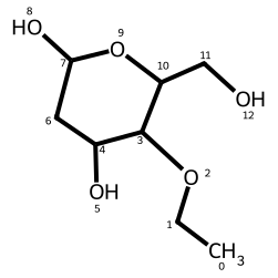 CCOC1C(O)CC(O)OC1CO